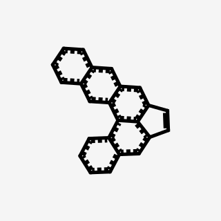 C1=Cc2cc3cc4ccccc4cc3c3c2c1cc1ccccc13